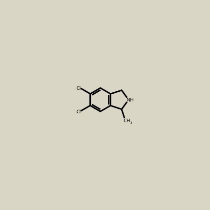 CC1NCc2cc(Cl)c(Cl)cc21